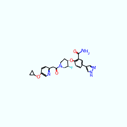 NC(=O)c1cc(-c2cn[nH]c2)ccc1O[C@H]1CCN(C(=O)Cc2ccc(OC3CC3)cn2)C[C@@H]1F